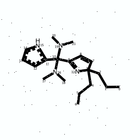 CCCC1(CCC)C=CC(C(c2ccc[nH]2)(N(C)C)N(C)C)=N1